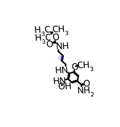 COc1cc(C(N)=O)cc(NO)c1NC/C=C/CNC(=O)OC(C)(C)C